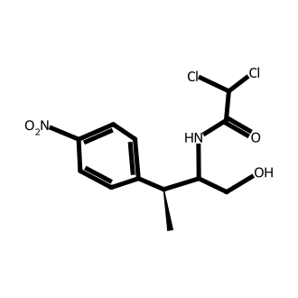 C[C@@H](c1ccc([N+](=O)[O-])cc1)C(CO)NC(=O)C(Cl)Cl